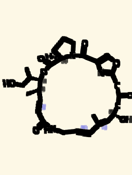 CC1=C\[C@@H](O)CC(=O)Cc2nc(co2)C(=O)N2CCC[C@@H]2C(=O)O[C@H](C(C)CO)[C@H](C)/C=C/C(=O)NC\C=C\1